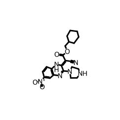 N#C/C(C(=O)OCC1CCCCC1)=C1/Nc2ccc([N+](=O)[O-])cc2N=C1N1CCNCC1